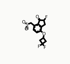 O=C1c2c(C[SH](=O)=O)ccc(OC3CC(F)(F)C3)c2CC1F